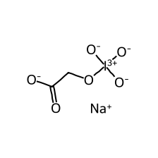 O=C([O-])CO[I+3]([O-])([O-])[O-].[Na+]